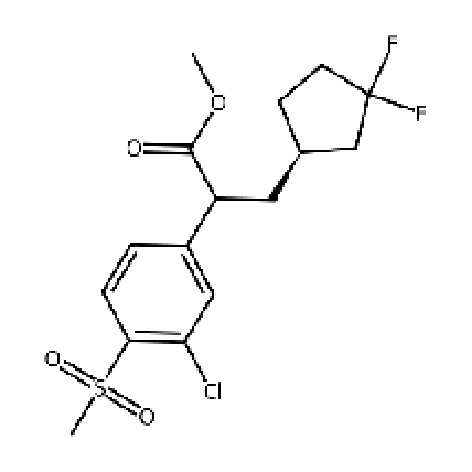 COC(=O)C(C[C@H]1CCC(F)(F)C1)c1ccc(S(C)(=O)=O)c(Cl)c1